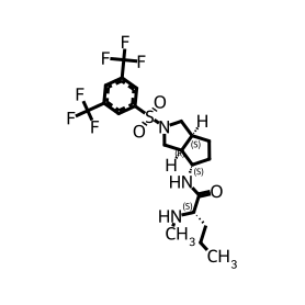 CCC[C@H](NC)C(=O)N[C@H]1CC[C@@H]2CN(S(=O)(=O)c3cc(C(F)(F)F)cc(C(F)(F)F)c3)C[C@@H]21